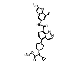 Cc1cn2cc(NC(=O)c3ccc(N4CCC(N(C(=O)OC(C)(C)C)C5CC5)CC4)c4ccnnc34)cc(F)c2n1